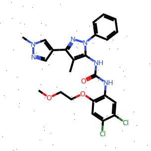 COCCOc1cc(Cl)c(Cl)cc1NC(=O)Nc1c(C)c(-c2cnn(C)c2)nn1-c1ccccc1